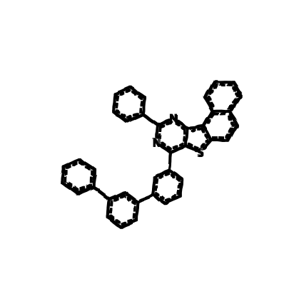 c1ccc(-c2cccc(-c3cccc(-c4nc(-c5ccccc5)nc5c4sc4ccc6ccccc6c45)c3)c2)cc1